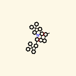 Cc1cccc(-c2cccc3cccc(-c4ccccc4N(c4ccc(-c5ccc6c(c5)C(c5ccccc5)(c5ccccc5)c5ccccc5-6)cc4)c4cccc5c4-c4ccccc4C5(c4ccccc4)c4ccccc4)c23)c1